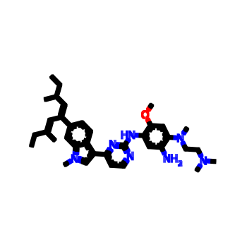 CC/C(C)=C/C(=C\C(C)CC)c1ccc2c(-c3ccnc(Nc4cc(N)c(N(C)CCN(C)C)cc4OC)n3)cn(C)c2c1